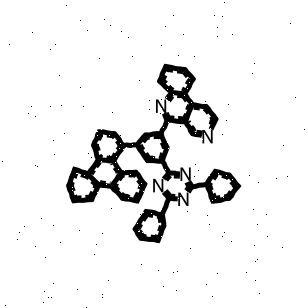 c1ccc(-c2nc(-c3ccccc3)nc(-c3cc(-c4nc5ccccc5c5ccncc45)cc(-c4cccc5c6ccccc6c6ccccc6c45)c3)n2)cc1